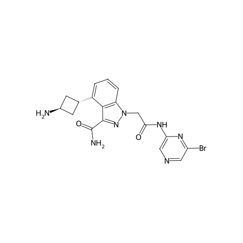 NC(=O)c1nn(CC(=O)Nc2cncc(Br)n2)c2cccc([C@H]3C[C@H](N)C3)c12